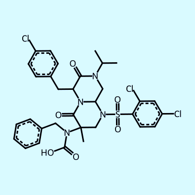 CC(C)N1CC2N(C(=O)C(C)(N(Cc3ccccc3)C(=O)O)CN2S(=O)(=O)c2ccc(Cl)cc2Cl)C(Cc2ccc(Cl)cc2)C1=O